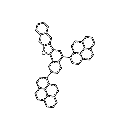 c1ccc2cc3c(cc2c1)oc1c2cc(-c4ccc5ccc6cccc7ccc4c5c67)ccc2c(-c2ccc4ccc5cccc6ccc2c4c56)cc31